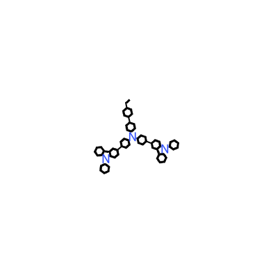 C=Cc1ccc(-c2ccc(N(c3ccc(-c4ccc5c(c4)c4ccccc4n5-c4ccccc4)cc3)c3ccc(-c4ccc5c(c4)c4ccccc4n5-c4ccccc4)cc3)cc2)cc1